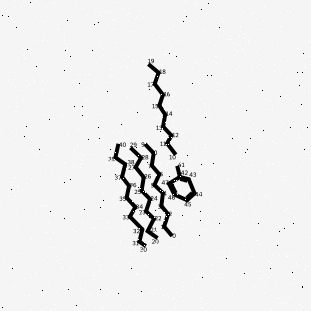 CCCCCCCCCC.CCCCCCCCCC.CCCCCCCCCC.CCCCCCCCCCC.Cc1ccccc1